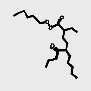 CCCCCOOC(=O)C(CC)CCC(CCCCC)C(=O)CCC